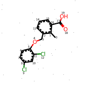 Cc1c(COc2ccc(Cl)cc2Cl)cccc1C(=O)O